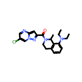 CCN(CC)c1cccc2c1C(C)N(C(=O)c1cc3ncc(Cl)cn3n1)CC2